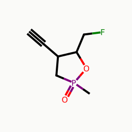 C#CC1CP(C)(=O)OC1CF